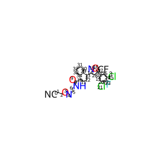 N#CCCO/N=C\CNC(=O)c1ccc(C2=NOC(c3cc(Cl)c(F)c(Cl)c3)(C(F)(F)F)C2)c2ccccc12